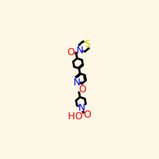 O=C(O)N1CCC(COc2ccc(C3=CCC(C(=O)N4CCSCC4)CC3)cn2)CC1